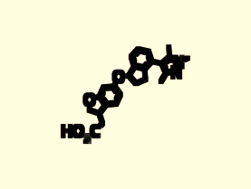 Cc1nn(C)c(C)c1-c1cccc2c1CC[C@H]2Oc1ccc2c(c1)OCC2CC(=O)O